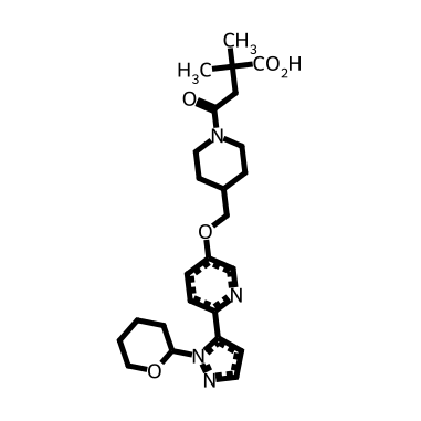 CC(C)(CC(=O)N1CCC(COc2ccc(-c3ccnn3C3CCCCO3)nc2)CC1)C(=O)O